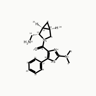 CN(C)c1nc(C(=O)N2C[C@@H]3C[C@@H]3[C@H]2CN)c(-c2ccccc2)s1